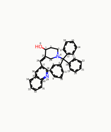 OC1CCN(C(c2ccccc2)(c2ccccc2)c2ccccc2)CC1=Cc1cnc2ccccc2c1